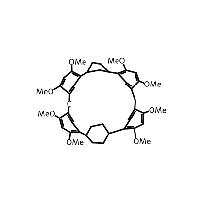 COc1cc(OC)c2cc1Cc1cc(c(OC)cc1OC)C1CCC(C1)c1cc(c(OC)cc1OC)Cc1cc(c(OC)cc1OC)C1CCC2CC1